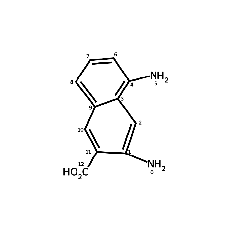 Nc1cc2c(N)cccc2cc1C(=O)O